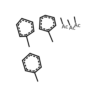 CC(C)=O.CC(C)=O.CC(C)=O.Cc1ccccc1.Cc1ccccc1.Cc1ccccc1